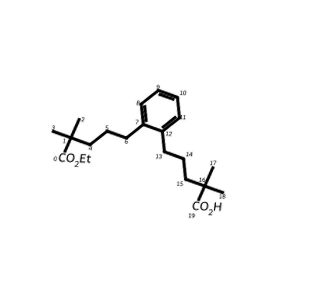 CCOC(=O)C(C)(C)CCCc1ccccc1CCCC(C)(C)C(=O)O